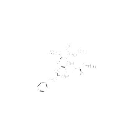 COC(=O)[C@@H](NC(=O)[C@H](CCC(=O)OC(C)(C)C)NC(=O)OCc1ccccc1)C(C)OC(C)(C)C